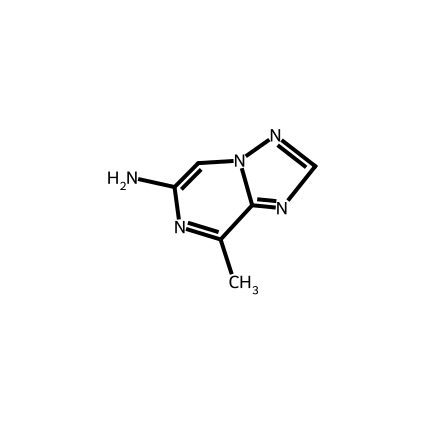 Cc1nc(N)cn2ncnc12